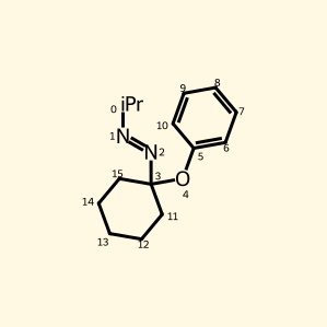 CC(C)N=NC1(Oc2ccccc2)CCCCC1